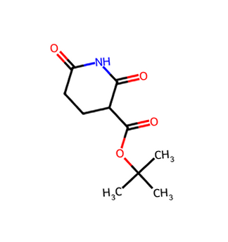 CC(C)(C)OC(=O)C1CCC(=O)NC1=O